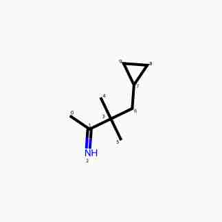 CC(=N)C(C)(C)CC1CC1